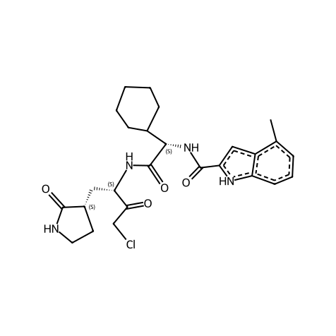 Cc1cccc2[nH]c(C(=O)N[C@H](C(=O)N[C@@H](C[C@@H]3CCNC3=O)C(=O)CCl)C3CCCCC3)cc12